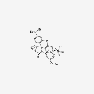 CCN(CC)c1ccc2c(c1)Oc1cc(N(CC)CC)ccc1C21c2ccccc2C(=O)N1/C(=N/C(=O)OC(C)(C)C)NC(=O)OC(C)(C)C